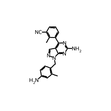 Cc1cc(N)ccc1Cn1ncc2c(-c3cccc(C#N)c3C)nc(N)nc21